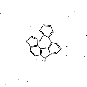 Ic1ccccc1-c1cccc2[nH]c3ccc4sccc4c3c12